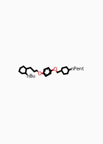 CCCCCC1CCC(COc2ccc(OCCCC3CCCCC3CCCC)cc2)CC1